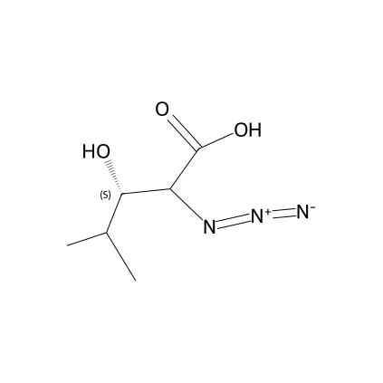 CC(C)[C@H](O)C(N=[N+]=[N-])C(=O)O